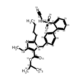 CCCCc1nc(SC)c(C(=O)OC(C)C)n1Cc1ccc(-c2ccccc2S(=O)(=O)NC#N)cc1